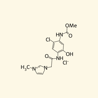 COC(=O)Nc1cc(O)c(NC(=O)Cn2cc[n+](C)c2)cc1Cl.[Cl-]